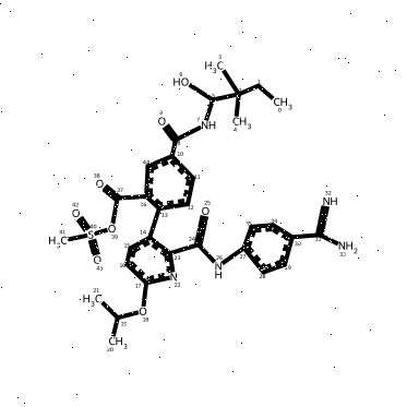 CCC(C)(C)C(O)NC(=O)c1ccc(-c2ccc(OC(C)C)nc2C(=O)Nc2ccc(C(=N)N)cc2)c(C(=O)OS(C)(=O)=O)c1